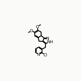 COC1=C(OC)CC2C(=C1)Cc1c2n[nH]c1Cc1cccnc1Cl